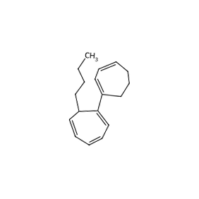 CCCCC1C=CC=CC=C1C1=CC=CCCC1